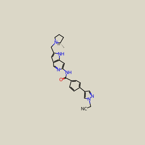 C[C@H]1CCCN1Cc1cc2cnc(NC(=O)c3ccc(-c4cnn(CC#N)c4)cc3)cc2[nH]1